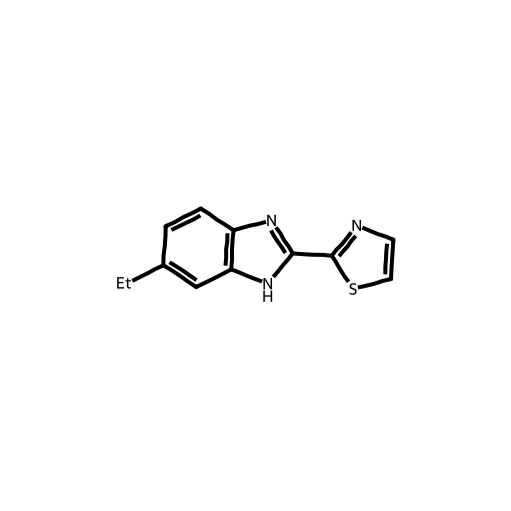 CCc1ccc2nc(-c3nccs3)[nH]c2c1